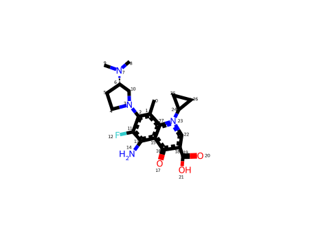 Cc1c(N2CC[C@H](N(C)C)C2)c(F)c(N)c2c(=O)c(C(=O)O)cn(C3CC3)c12